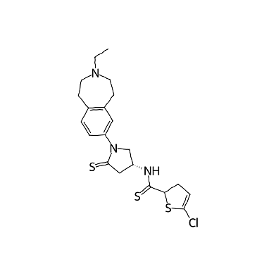 CCN1CCc2ccc(N3C[C@H](NC(=S)C4CC=C(Cl)S4)CC3=S)cc2CC1